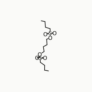 CCCCS(=O)(=O)OCCCCOS(=O)(=O)CCCC